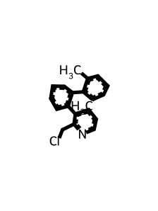 Cc1cccc(C)c1-c1ccccc1-c1cccnc1CCl